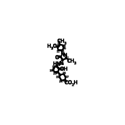 CC1=NN(c2ccc(C)c(C)c2)C(=O)C1=NNc1cccc(C2CCC(C(=O)O)CC2)c1O